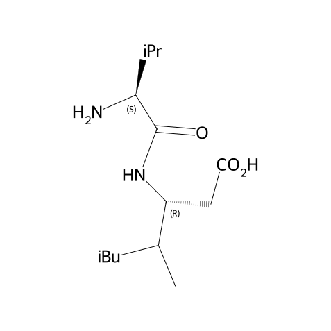 CCC(C)C(C)[C@@H](CC(=O)O)NC(=O)[C@@H](N)C(C)C